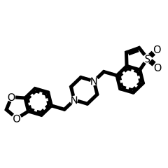 O=S1(=O)C=Cc2c(CN3CCN(Cc4ccc5c(c4)OCO5)CC3)cccc21